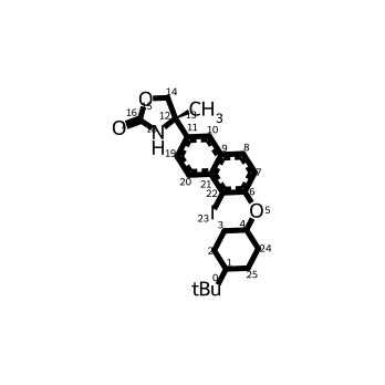 CC(C)(C)C1CCC(Oc2ccc3cc([C@@]4(C)COC(=O)N4)ccc3c2I)CC1